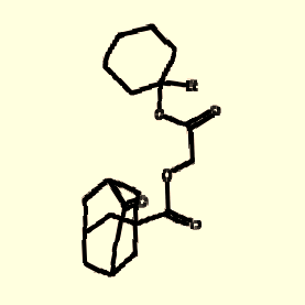 CCC1(OC(=O)COC(=O)C23CC4CC(C2)C(=O)C(C4)C3)CCCCC1